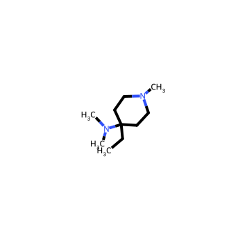 CCC1(N(C)C)CCN(C)CC1